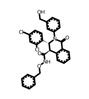 O=C(NOCc1ccccc1)[C@@H]1c2ccccc2C(=O)N(c2cccc(CO)c2)[C@H]1c1ccc(Cl)cc1Cl